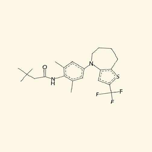 Cc1cc(N2CCCCc3sc(C(F)(F)F)cc32)cc(C)c1NC(=O)CC(C)(C)C